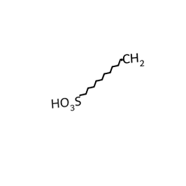 C=CCCCCCCCCCCS(=O)(=O)O